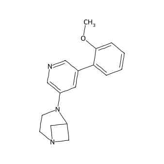 COc1ccccc1-c1cncc(N2CCN3CC2C3)c1